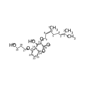 CC(C)=CCCC(C)=CCOc1c(O)c2c(OCCCO)cccc2oc1=O